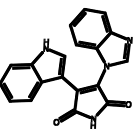 O=C1NC(=O)C(n2cnc3ccccc32)=C1c1c[nH]c2ccccc12